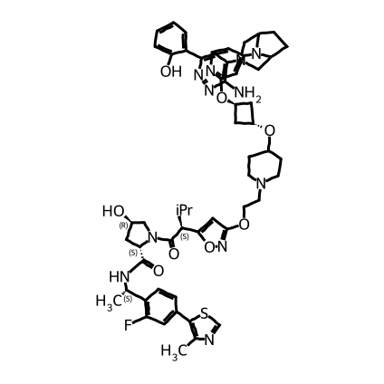 Cc1ncsc1-c1ccc([C@H](C)NC(=O)[C@@H]2C[C@@H](O)CN2C(=O)[C@H](c2cc(OCCN3CCC(O[C@H]4C[C@H](Oc5cc(N6C7CCC6CN(c6cc(-c8ccccc8O)nnc6N)C7)ccn5)C4)CC3)no2)C(C)C)c(F)c1